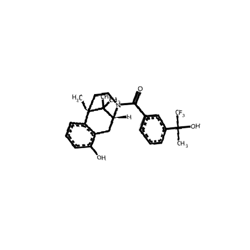 CC(O)(c1cccc(C(=O)N2CC[C@@]3(C)c4cccc(O)c4C[C@@H]2C3(C)C)c1)C(F)(F)F